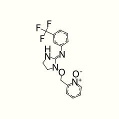 [O-][n+]1ccccc1CON1CCN/C1=N\c1cccc(C(F)(F)F)c1